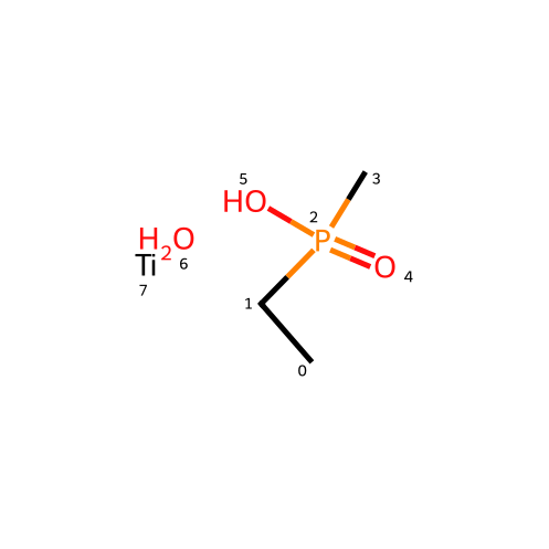 CCP(C)(=O)O.O.[Ti]